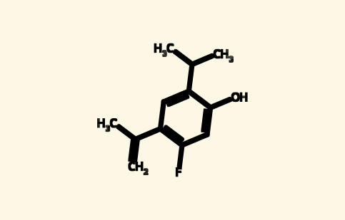 C=C(C)c1cc(C(C)C)c(O)cc1F